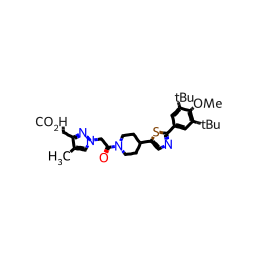 COc1c(C(C)(C)C)cc(-c2ncc(C3CCN(C(=O)Cn4cc(C)c(CC(=O)O)n4)CC3)s2)cc1C(C)(C)C